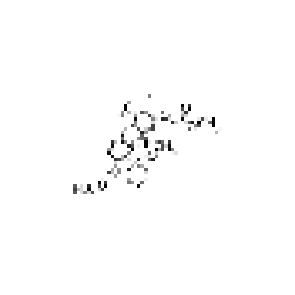 COCOc1ccc(Cc2c(C)cc(OCC(=O)OC)c(F)c2C)nc1C1(COC)CCCCC1